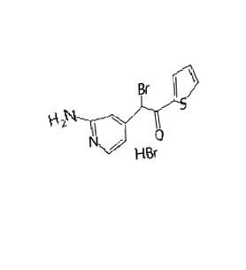 Br.Nc1cc(C(Br)C(=O)c2cccs2)ccn1